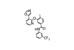 Cc1ccc(C(=O)Nc2cccc(C(F)(F)F)c2)cc1Oc1ncccc1-c1cnco1